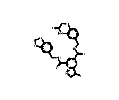 O=C1COc2ccc(CNC(=O)c3cc(C(=O)NCc4ccc5c(c4)OCO5)n4ncc(F)c4n3)cc2N1